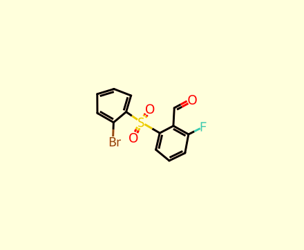 O=Cc1c(F)cccc1S(=O)(=O)c1ccccc1Br